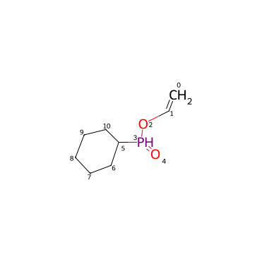 C=CO[PH](=O)C1CCCCC1